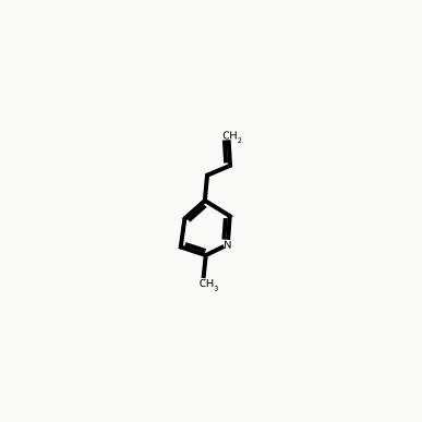 C=CCc1[c]nc(C)cc1